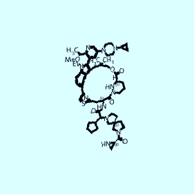 CCn1c(-c2cc(N3CCN(C4CC4)CC3)cnc2[C@H](C)OC)c2c3cc(ccc31)-c1csc(n1)C[C@H](NC(=O)C(C1CCCC1)N1CC[C@]3(CCN(C(=O)[C@H]4CN4)C3)C1)C(=O)N1CCC[C@H](N1)C(=O)OCC(C)(C)C2